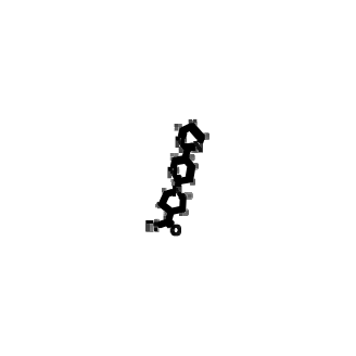 CCC(=O)C1CCN(c2ccc(-c3ncccn3)cn2)CC1